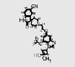 C[C@]1(O)C[C@@H](n2cnc3cc(OCCN4CCC5(CC4)C(=O)Nc4ccc(C#N)cc45)cc(OC(F)F)c32)C1